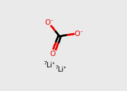 O=C([O-])[O-].[7Li+].[7Li+]